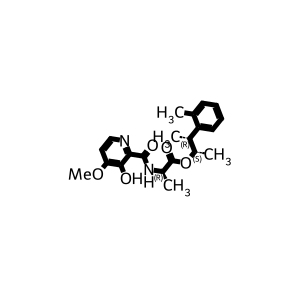 COc1ccnc(C(=O)N[C@H](C)C(=O)O[C@@H](C)[C@H](C)c2ccccc2C)c1O